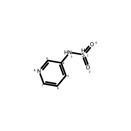 O=[SH](=O)Nc1cccnc1